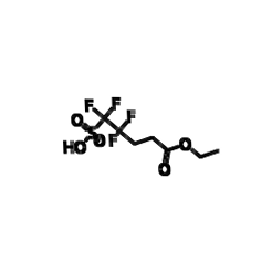 CCOC(=O)CCC(F)(F)C(F)(F)S(=O)(=O)O